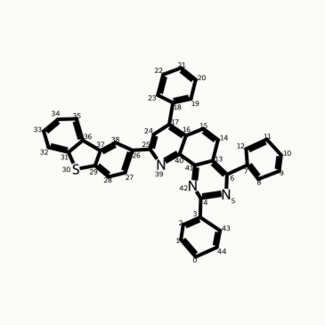 c1ccc(-c2nc(-c3ccccc3)c3ccc4c(-c5ccccc5)cc(-c5ccc6sc7ccccc7c6c5)nc4c3n2)cc1